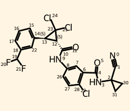 N#CC1(NC(=O)c2cc(NC(=O)[C@@H]3[C@@H](c4cccc(C(F)F)c4)C3(Cl)Cl)ccc2Cl)CC1